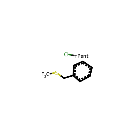 CCCCCCl.FC(F)(F)SCc1ccccc1